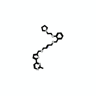 Cc1nccc(-c2ccc(COC/C=C/COCc3ccccc3OCCN3CCCC3)s2)n1